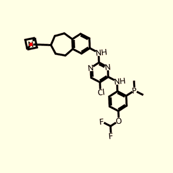 CP(C)c1cc(OC(F)F)ccc1Nc1nc(Nc2ccc3c(c2)CCC(N2CC4CC2C4)CC3)ncc1Cl